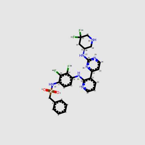 O=S(=O)(Cc1ccccc1)Nc1ccc(Nc2ncccc2-c2ccnc(N[C@@H]3CNCC(F)(F)C3)n2)c(F)c1F